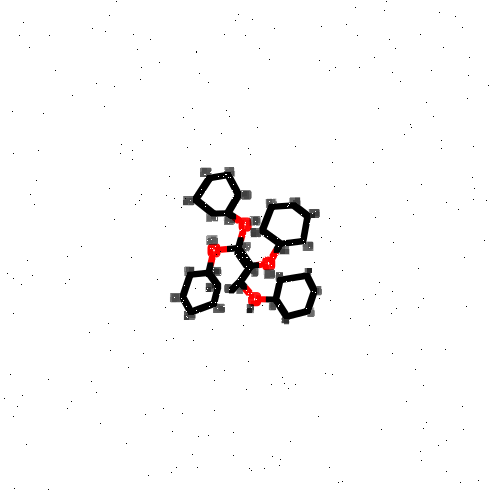 CC(OC1CCCCC1)C(OC1CCCCC1)=C(OC1CCCCC1)OC1CCCCC1